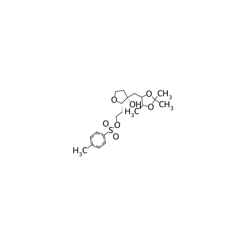 Cc1ccc(S(=O)(=O)OCC[C@@H]2OCC[C@@]2(O)CC2OC(C)(C)O[C@H]2C)cc1